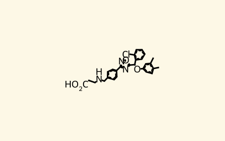 Cc1ccc(OC(c2nc(-c3ccc(CNCCC(=O)O)cc3)no2)c2ccccc2Cl)cc1C